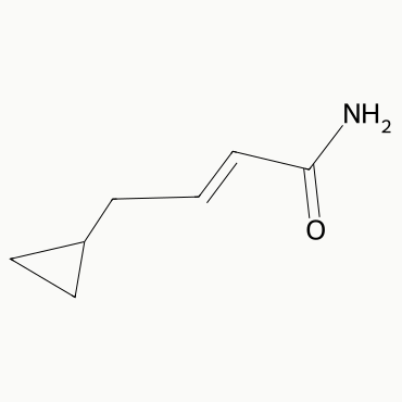 NC(=O)C=CCC1CC1